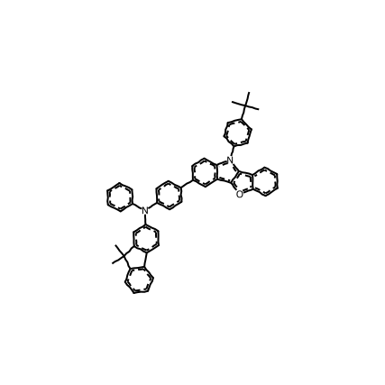 CC(C)(C)c1ccc(-n2c3ccc(-c4ccc(N(c5ccccc5)c5ccc6c(c5)C(C)(C)c5ccccc5-6)cc4)cc3c3oc4ccccc4c32)cc1